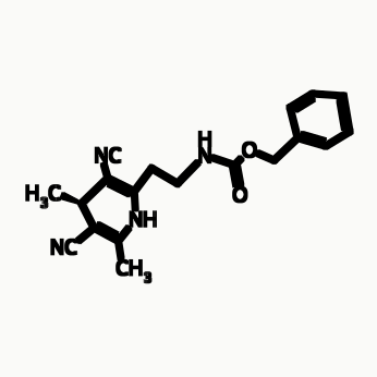 [C-]#[N+]C1=C(CCNC(=O)OCc2ccccc2)NC(C)=C(C#N)[C@H]1C